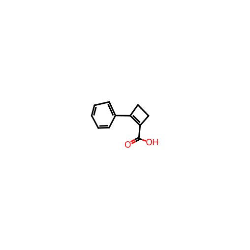 O=C(O)C1=C(c2ccccc2)CC1